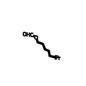 CC(C)CCCCCOC=O